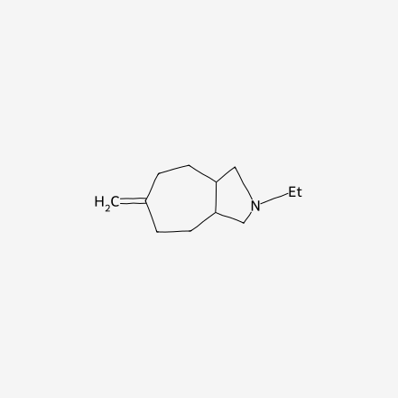 C=C1CCC2CN(CC)CC2CC1